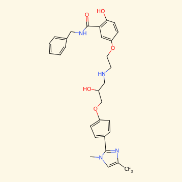 Cn1cc(C(F)(F)F)nc1-c1ccc(OCC(O)CNCCOc2ccc(O)c(C(=O)NCc3ccccc3)c2)cc1